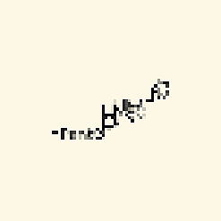 CCCCCOc1ccc(NC(=S)NC(=O)CCN2CCCCC2)cc1